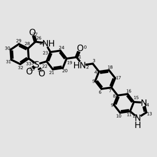 O=C(NCc1ccc(-c2ccc3[nH]cnc3c2)cc1)c1ccc2c(c1)NC(=O)c1ccccc1S2(=O)=O